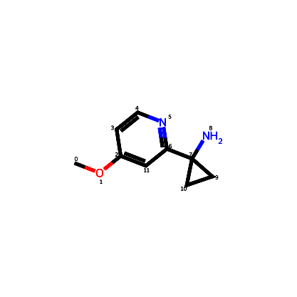 COc1ccnc(C2(N)CC2)c1